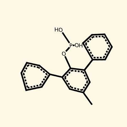 Cc1cc(-c2ccccc2)c(OP(O)O)c(-c2ccccc2)c1